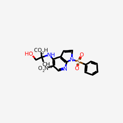 CC(CO)(Nc1c([N+](=O)[O-])cnc2c1ccn2S(=O)(=O)c1ccccc1)C(=O)O